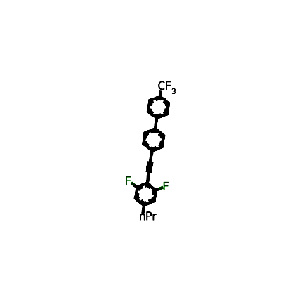 CCCc1cc(F)c(C#Cc2ccc(-c3ccc(C(F)(F)F)cc3)cc2)c(F)c1